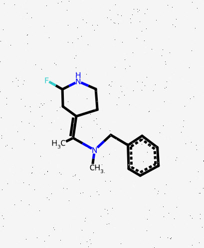 CC(=C1CCNC(F)C1)N(C)Cc1ccccc1